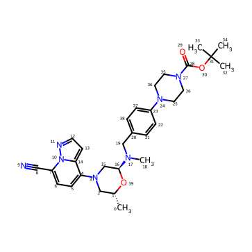 C[C@@H]1CN(c2ccc(C#N)n3nccc23)C[C@@H](N(C)Cc2ccc(N3CCN(C(=O)OC(C)(C)C)CC3)cc2)O1